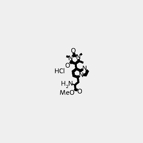 COC(=O)[C@@H](N)Cc1ccc(-c2c(C)n(C)c(=O)n(C)c2=O)c2nccn12.Cl